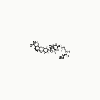 CC(C)(C)OC(=O)NC1CC(Oc2ccc(C(C)(C)c3ccc(Oc4ccc(C(N)=O)nn4)cc3)cc2)C1